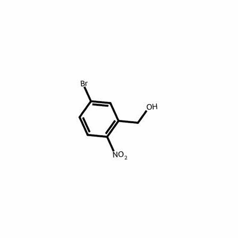 O=[N+]([O-])c1ccc(Br)cc1CO